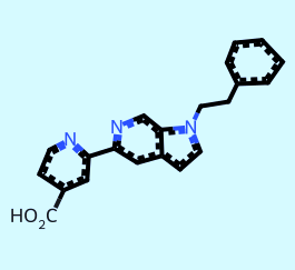 O=C(O)c1ccnc(-c2cc3ccn(CCc4ccccc4)c3cn2)c1